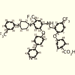 O=C(O)c1ccc(Oc2ccc(C(F)(F)F)cc2CNc2cc(C(F)(F)F)c(N3CCN(c4cccc(C(F)(F)F)c4)CC3)cc2Oc2ccc(-c3ccncc3)cc2)cc1